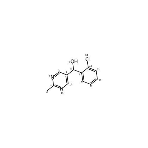 Cc1ncc(C(O)c2ccccc2Cl)cn1